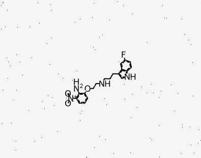 Nc1c(OCCNCCCc2c[nH]c3ccc(F)cc23)cccc1[N+](=O)[O-]